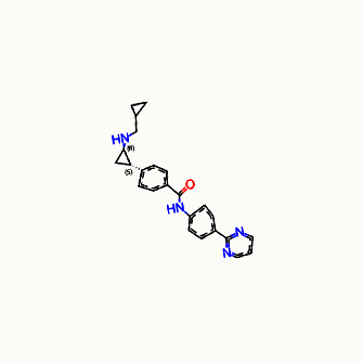 O=C(Nc1ccc(-c2ncccn2)cc1)c1ccc([C@@H]2C[C@H]2NCC2CC2)cc1